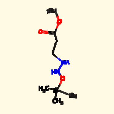 CC(C)(C)OC(=O)CCNNO[Si](C)(C)C(C)(C)C